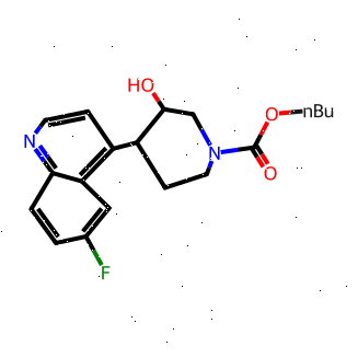 CCCCOC(=O)N1CCC(c2ccnc3ccc(F)cc23)C(O)C1